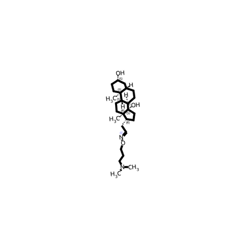 CN(C)CCCO/N=C/C[C@H]1CC[C@]2(O)[C@@H]3CC[C@@H]4C[C@@H](O)CC[C@]4(C)[C@H]3CC[C@]12C